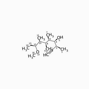 C#C[C@H](C)[C@H](O)[C@H](C)[C@@H](C)[C@H](C)[C@H](CC)OC